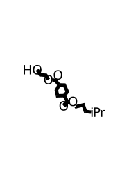 CC(C)CCCOC(=O)C1CCC(C(=O)OCCO)CC1